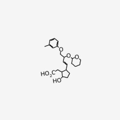 Cc1cccc(OCC(C=CC2CCC(O)C2CC(=O)O)OC2CCCCO2)c1